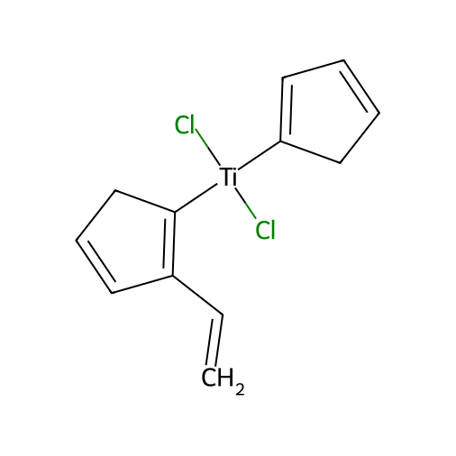 C=CC1=[C]([Ti]([Cl])([Cl])[C]2=CC=CC2)CC=C1